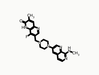 CNc1nccc2cc(N3CCN(Cc4cnc5cc(C)c(=O)[nH]c5c4F)CC3)cnc12